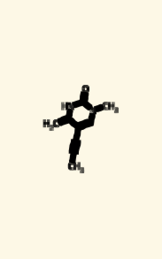 C=C1NC(=O)N(C)C=C1C#CC